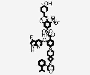 CC(C)c1ccccc1[C@@H]1COCCN1C1CC2(CCN(c3ccc(C(=O)NS(=O)(=O)c4cc5c(c([N+](=O)[O-])c4)S[C@@H]([C@H]4CC[C@](C)(O)CC4)CO5)c(Oc4cnc5[nH]cc(F)c5c4)c3)CC2)C1